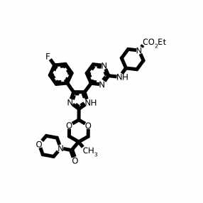 CCOC(=O)N1CCC(Nc2nccc(-c3[nH]c(C4OCC(C)(C(=O)N5CCOCC5)CO4)nc3-c3ccc(F)cc3)n2)CC1